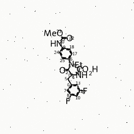 CCN(C(=O)[C@H](Cc1cc(F)cc(F)c1)NC(=O)O)c1ccc(NC(=O)OC)cc1